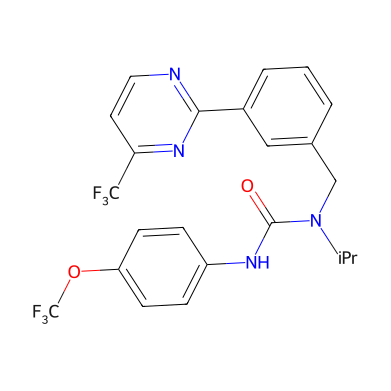 CC(C)N(Cc1cccc(-c2nccc(C(F)(F)F)n2)c1)C(=O)Nc1ccc(OC(F)(F)F)cc1